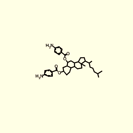 CC(C)CCCC(C)C1CCC2C3CC(OC(=O)c4ccc(N)cc4)C4CC(OC(=O)c5ccc(N)cc5)CCC4C3CCC12C